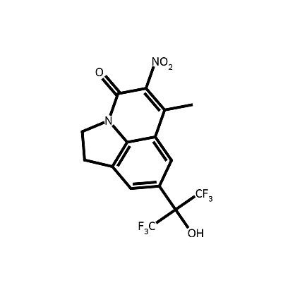 Cc1c([N+](=O)[O-])c(=O)n2c3c(cc(C(O)(C(F)(F)F)C(F)(F)F)cc13)CC2